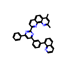 Cc1cc(C)c2ccc3ccc(-c4nc(-c5ccccc5)cc(-c5cccc(-c6cccc7cccnc67)c5)n4)nc3c2n1